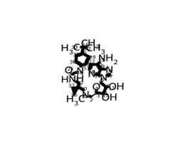 CN(C[C@H]1O[C@@H](n2cnc3c(N)ccnc32)C(O)C1O)CC1(CNC(=O)Nc2ccc(C(C)(C)C)cc2)CC1